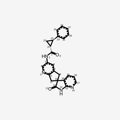 O=C(Nc1cnc2c(c1)CC1(C2)C(=O)Nc2ncccc21)[C@@H]1C[C@H]1c1ccccc1